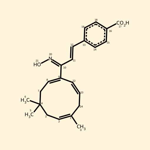 C/C1=C/CC(C)(C)C/C=C(C(/C=C/c2ccc(C(=O)O)cc2)=N\O)\C=C/C1